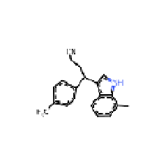 Cc1cccc2c(C(CCC#N)c3ccc(C(F)(F)F)cc3)c[nH]c12